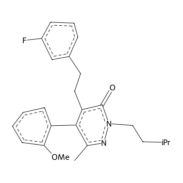 COc1ccccc1-c1c(C)nn(CCC(C)C)c(=O)c1CCc1cccc(F)c1